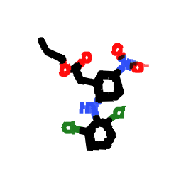 CCCOC(=O)Cc1cc([N+](=O)[O-])ccc1Nc1c(Cl)cccc1Cl